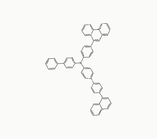 c1ccc(-c2ccc(N(c3ccc(-c4ccc(-c5cccc6ccccc56)cc4)cc3)c3ccc(-c4cc5ccccc5c5ccccc45)cc3)cc2)cc1